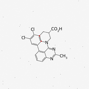 Cc1nc(N2CCCC(C(=O)O)C2)c2c(-c3ccc(Cl)c(Cl)c3)cccc2n1